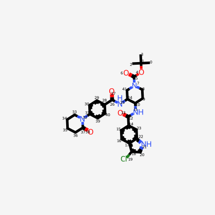 CC(C)(C)OC(=O)N1CCC(NC(=O)c2ccc3c(Cl)c[nH]c3c2)C(NC(=O)c2ccc(N3CCCCC3=O)cc2)C1